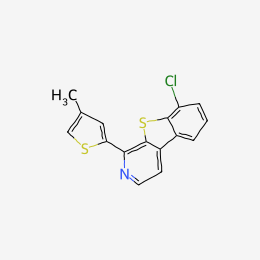 Cc1csc(-c2nccc3c2sc2c(Cl)cccc23)c1